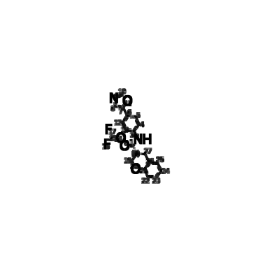 O=C(Nc1ccc(-c2cnco2)cc1OC(F)F)[C@H]1COc2ccccc2C1